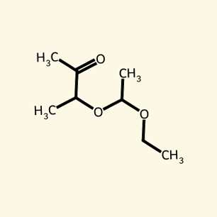 CCOC(C)OC(C)C(C)=O